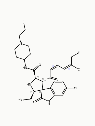 C=C(/C=C\C=C(\Cl)CF)[C@H]1[C@H](C(=O)NC2CCN(CCF)CC2)N[C@H](CC(C)(C)C)[C@]12C(=O)Nc1cc(Cl)ccc12